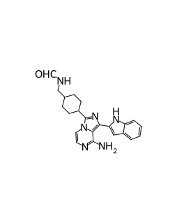 Nc1nccn2c(C3CCC(CNC=O)CC3)nc(-c3cc4ccccc4[nH]3)c12